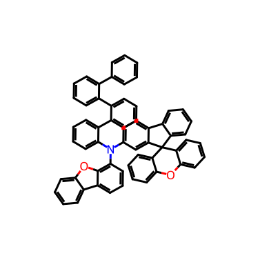 c1ccc(-c2ccccc2-c2ccccc2-c2ccccc2N(c2ccc3c(c2)C2(c4ccccc4Oc4ccccc42)c2ccccc2-3)c2cccc3c2oc2ccccc23)cc1